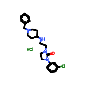 Cl.O=C1N(CCNC2CCN(Cc3ccccc3)CC2)CCN1c1cccc(Cl)c1